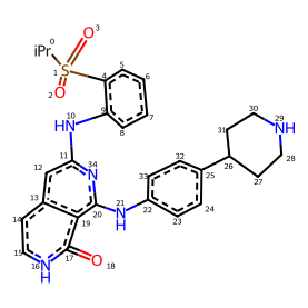 CC(C)S(=O)(=O)c1ccccc1Nc1cc2cc[nH]c(=O)c2c(Nc2ccc(C3CCNCC3)cc2)n1